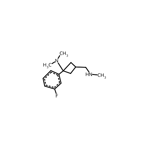 CNCC1CC(c2cccc(F)c2)(N(C)C)C1